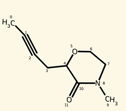 CC#CCC1OCCN(C)C1=O